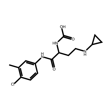 Cc1cc(NC(=O)C(CCNC2CC2)NC(=O)O)ccc1Cl